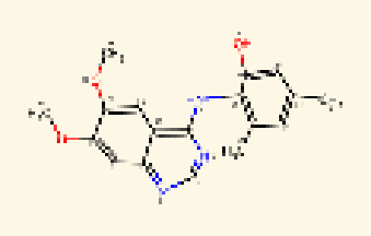 COc1cc2ncnc(Nc3c(C)cc(C)cc3O)c2cc1OC